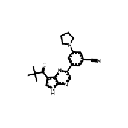 CC(C)(C)C(=O)c1c[nH]c2ncc(-c3cc(C#N)cc(N4CCCC4)c3)nc12